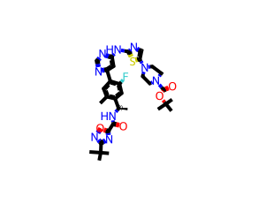 Cc1cc(-c2cc(Nc3ncc(N4CCN(C(=O)OC(C)(C)C)CC4)s3)ncn2)c(F)cc1[C@@H](C)NC(=O)c1nc(C(C)(C)C)no1